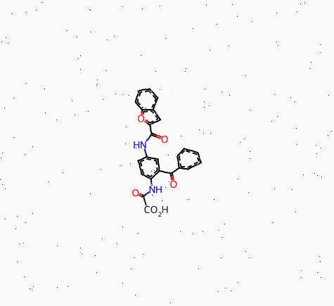 O=C(O)C(=O)Nc1ccc(NC(=O)c2cc3ccccc3o2)cc1C(=O)c1ccccc1